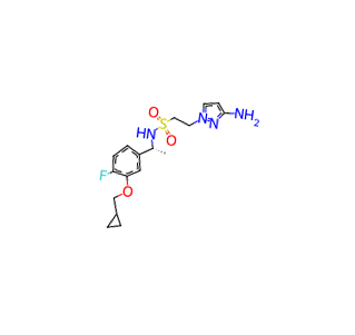 C[C@@H](NS(=O)(=O)CCn1ccc(N)n1)c1ccc(F)c(OCC2CC2)c1